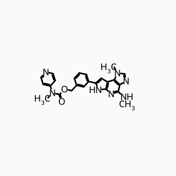 CNc1nc2[nH]c(-c3cccc(COC(=O)N(C)c4ccncc4)c3)cc2c2c1ncn2C